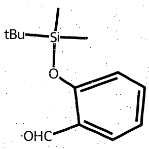 CC(C)(C)[Si](C)(C)Oc1ccccc1[C]=O